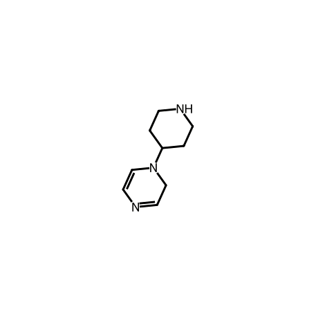 C1=CN(C2CCNCC2)CC=N1